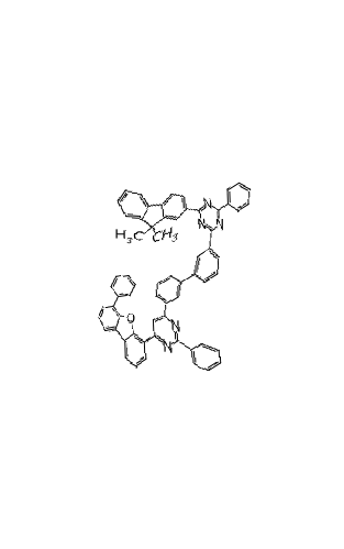 CC1(C)c2ccccc2-c2ccc(-c3nc(-c4ccccc4)nc(-c4cccc(-c5cccc(-c6cc(-c7cccc8c7oc7c(-c9ccccc9)cccc78)nc(-c7ccccc7)n6)c5)c4)n3)cc21